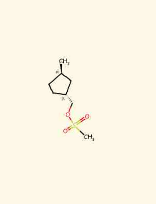 C[C@@H]1CC[C@@H](COS(C)(=O)=O)C1